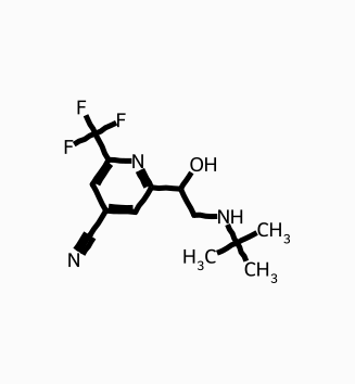 CC(C)(C)NCC(O)c1cc(C#N)cc(C(F)(F)F)n1